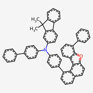 CC1(C)c2ccccc2-c2ccc(N(c3ccc(-c4ccccc4)cc3)c3ccc(-c4cccc5ccc6oc7c(-c8ccccc8)cccc7c6c45)cc3)cc21